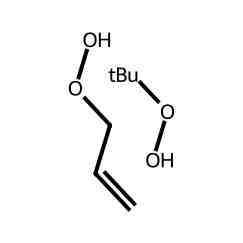 C=CCOO.CC(C)(C)OO